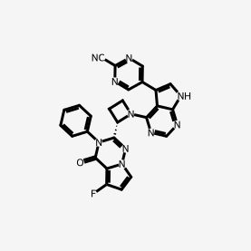 N#Cc1ncc(-c2c[nH]c3ncnc(N4CC[C@H]4c4nn5ccc(F)c5c(=O)n4-c4ccccc4)c23)cn1